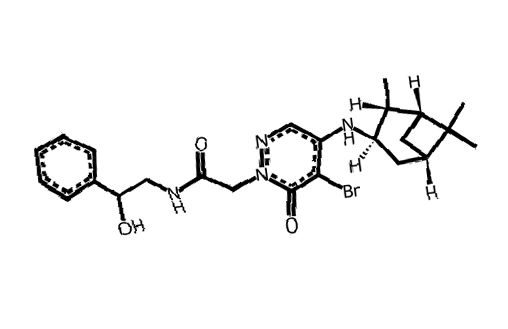 C[C@@H]1[C@H]2C[C@@H](C[C@H]1Nc1cnn(CC(=O)NCC(O)c3ccccc3)c(=O)c1Br)C2(C)C